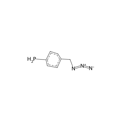 [N-]=[N+]=NCc1ccc(P)cc1